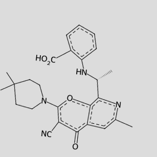 Cc1cc2c(=O)c(C#N)c(N3CCC(C)(C)CC3)oc2c([C@@H](C)Nc2ccccc2C(=O)O)n1